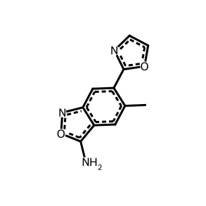 Cc1cc2c(N)onc2cc1-c1ncco1